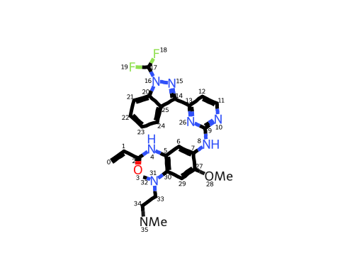 C=CC(=O)Nc1cc(Nc2nccc(-c3nn(C(F)F)c4ccccc34)n2)c(OC)cc1N(C)CCNC